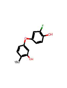 CC(C)(C)c1ccc(Oc2ccc(O)c(F)c2)cc1O